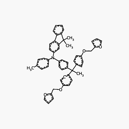 Cc1ccc(N(c2ccc(C(C)(c3ccc(OCc4ccco4)cc3)c3ccc(OCc4ccco4)cc3)cc2)c2ccc3c(c2)C(C)(C)c2ccccc2-3)cc1